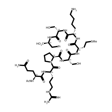 CSCC[C@H](NC(=O)[C@H](CO)NC(=O)[C@@H]1CCCN1C(=O)[C@H](CCCNC(=N)N)NC(=O)[C@H](CCC(N)=O)NC(C)=O)C(=O)N[C@@H](CCCCN)C(=O)N[C@@H](CO)C(=O)N[C@@H](CC(C)C)C(=O)O